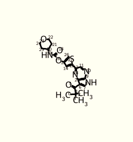 CC(C)(C)C(=O)c1c[nH]c2ncc(-c3cc(OC(=O)NC4CCOCC4)cs3)nc12